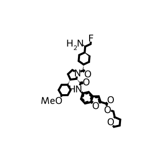 COC1CCC([C@@H]2CCN(C(=O)[C@H]3CC[C@H]([C@H](N)CF)CC3)[C@@H]2C(=O)Nc2ccc3oc(C(=O)OCC4CCCO4)cc3c2)CC1